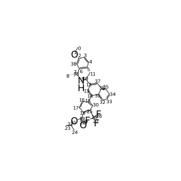 COc1cccc([C@@H](C)NC(C)c2cc(-c3ccc(C(=O)OC(C)C)c(C(F)(F)F)c3)c3ccccc3c2)c1